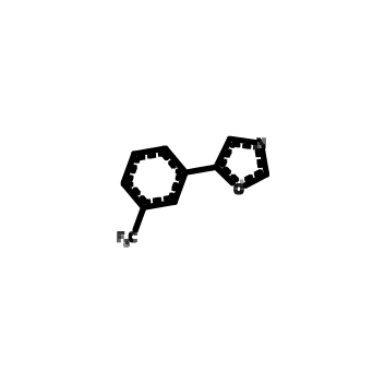 FC(F)(F)c1cccc(-c2cnco2)c1